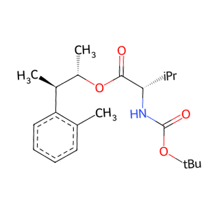 Cc1ccccc1[C@@H](C)[C@H](C)OC(=O)[C@@H](NC(=O)OC(C)(C)C)C(C)C